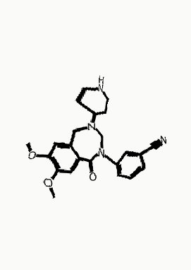 COc1cc2c(cc1OC)C(=O)N(c1cccc(C#N)c1)CN(C1CCNCC1)C2